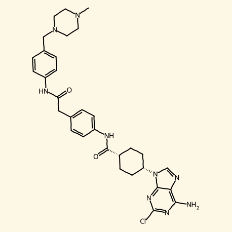 CN1CCN(Cc2ccc(NC(=O)Cc3ccc(NC(=O)[C@H]4CC[C@@H](n5cnc6c(N)nc(Cl)nc65)CC4)cc3)cc2)CC1